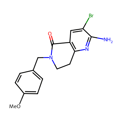 COc1ccc(CN2CCc3nc(N)c(Br)cc3C2=O)cc1